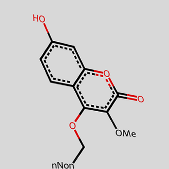 CCCCCCCCCCOc1c(OC)c(=O)oc2cc(O)ccc12